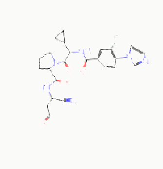 N#CC(CC=O)NC(=O)C1CCCN1C(=O)C(NC(=O)c1ccc(-n2ccnc2)c(F)c1)C1CC1